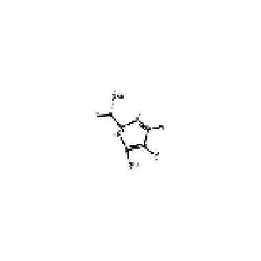 CN[C@@H](C)c1nc(C)c(C(C)C)c(C(C)(C)C)n1